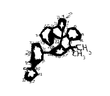 CC1(C)c2ccccc2C2(c3ccccc3-c3ccccc32)c2cc(-c3cccc(-c4cccs4)c3)ccc21